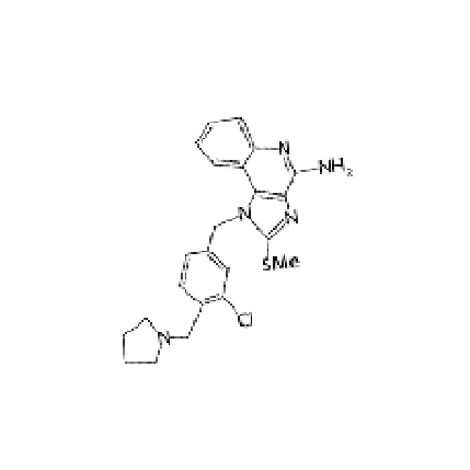 CSc1nc2c(N)nc3ccccc3c2n1Cc1ccc(CN2CCCC2)c(Cl)c1